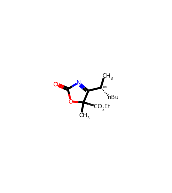 CCCC[C@@H](C)C1=NC(=O)OC1(C)C(=O)OCC